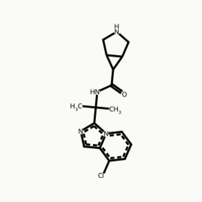 CC(C)(NC(=O)C1C2CNCC21)c1ncc2c(Cl)cccn12